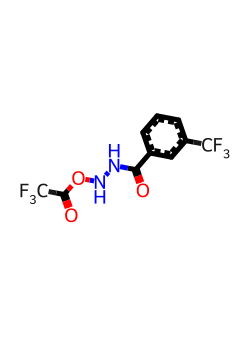 O=C(NNOC(=O)C(F)(F)F)c1cccc(C(F)(F)F)c1